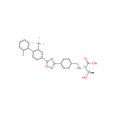 Cc1ccccc1-c1ccc(-c2nc(-c3ccc(CN[C@H](C(=O)O)[C@@H](C)O)cc3)no2)cc1C(F)(F)F